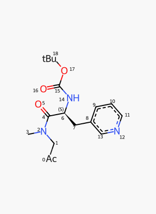 CC(=O)CN(C)C(=O)[C@H](Cc1cccnc1)NC(=O)OC(C)(C)C